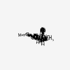 COCCOc1ccc2nc(-c3c(NCc4ncccn4)c4nn(C)cc4[nH]c3=O)[nH]c2c1